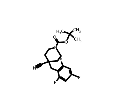 CC(C)(C)OC(=O)N1CCC(C#N)(Cc2c(F)cc(F)cc2F)CC1